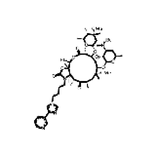 CC[C@H]1OC(=O)[C@H](C)[C@@H](O[C@H]2C[C@@](C)(OC)[C@@H](C)[C@H](C)O2)[C@H](C)[C@@H](O[C@@H]2O[C@H](C)C[C@H](N(C)C(C)(C)C)[C@H]2O)[C@](C)(OC)C[C@@H](C)C(=O)[C@H](C)[C@H]2N(CCCCn3cnc(-c4cccnc4)c3)C(=O)O[C@]12C